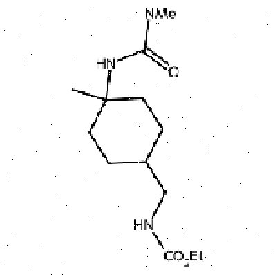 CCOC(=O)NCC1CCC(C)(NC(=O)NC)CC1